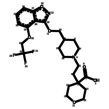 O=C(O)C1(CCN2CCC(COc3noc4cccc(OCC(F)(F)F)c34)CC2)CCOCC1